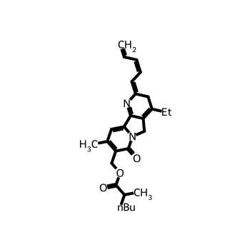 C=C/C=C\C=C1/CC(CC)=C2Cn3c(cc(C)c(COC(=O)C(C)CCCC)c3=O)C2=N1